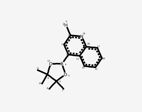 [2H]c1cc(B2OC(C)(C)C(C)(C)O2)c2ccccc2n1